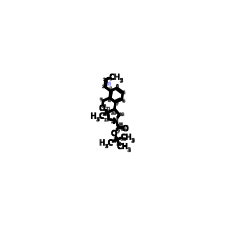 C/C=C\c1cccc2c1COC1(C)CN(C(=O)OC(C)(C)C)CC21